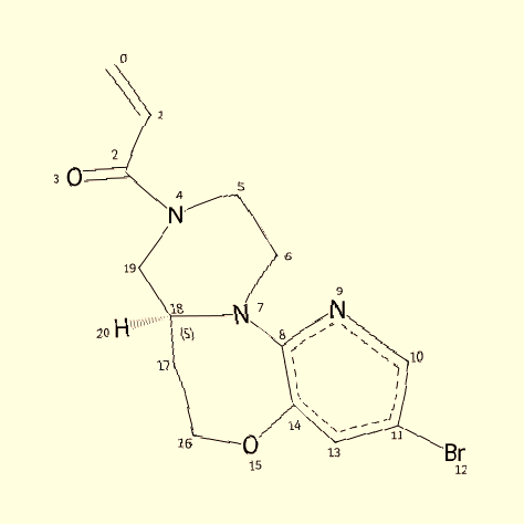 C=CC(=O)N1CCN2c3ncc(Br)cc3OCC[C@H]2C1